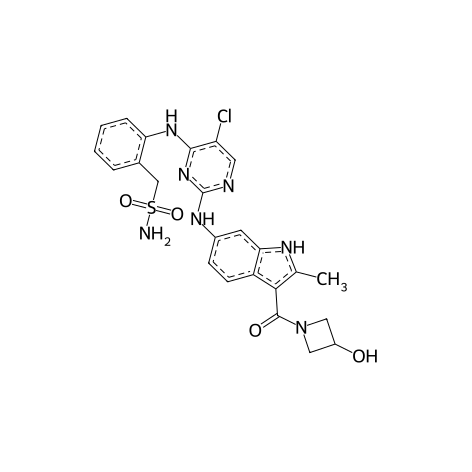 Cc1[nH]c2cc(Nc3ncc(Cl)c(Nc4ccccc4CS(N)(=O)=O)n3)ccc2c1C(=O)N1CC(O)C1